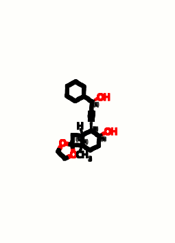 C[C@@]12CC[C@H](O)[C@@H](C#C[C@@H](O)C3CCCCC3)[C@@H]1CC21OCCO1